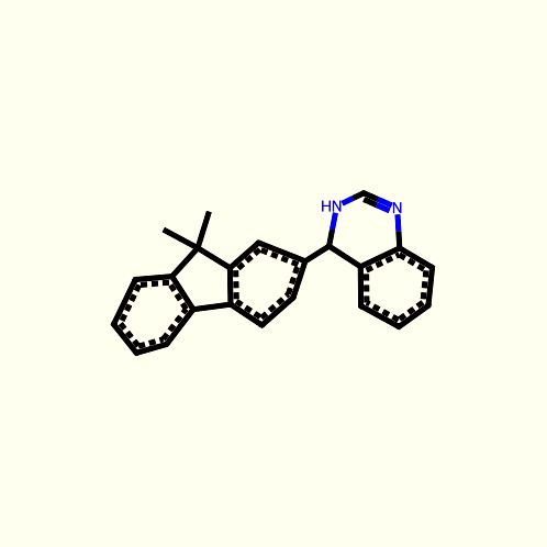 CC1(C)c2ccccc2-c2ccc(C3NC=Nc4ccccc43)cc21